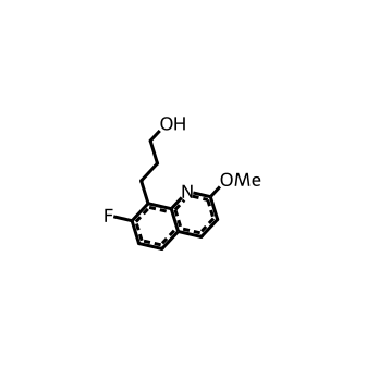 COc1ccc2ccc(F)c(CCCO)c2n1